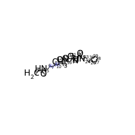 C=CC(=O)NC/C=C/C(C)=C/C(O)CC(=O)Cc1nc(C(=O)NCCc2ccccc2)co1